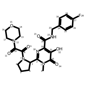 Cn1c(C2CCCN2C(=O)C(=O)N2CCOCC2)nc(C(=O)NCc2ccc(F)cc2)c(O)c1=O